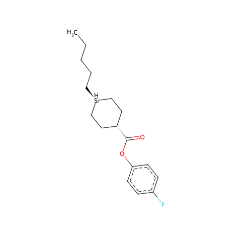 CCCCC[Si@H]1CC[C@H](C(=O)Oc2ccc(F)cc2)CC1